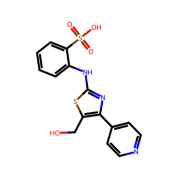 O=S(=O)(O)c1ccccc1Nc1nc(-c2ccncc2)c(CO)s1